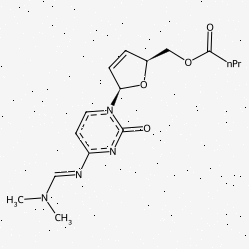 CCCC(=O)OC[C@@H]1C=C[C@H](n2ccc(/N=C/N(C)C)nc2=O)O1